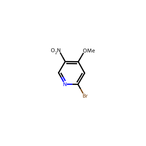 COc1cc(Br)ncc1[N+](=O)[O-]